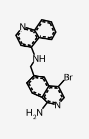 Nc1ncc(Br)c2cc(CNc3ccnc4ccccc34)ccc12